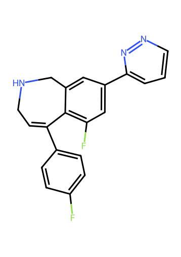 Fc1ccc(C2=CCNCc3cc(-c4cccnn4)cc(F)c32)cc1